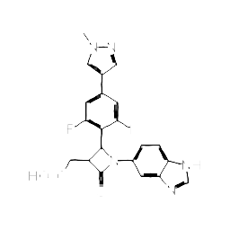 Cn1cc(-c2cc(F)c(C3C(CC(=O)O)C(=O)N3c3ccc4[nH]cnc4c3)c(F)c2)cn1